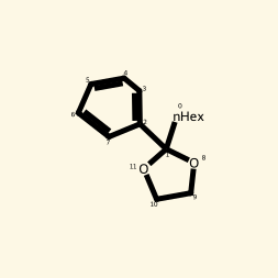 CCCCCCC1(c2ccccc2)OCCO1